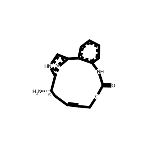 N[C@H]1CC=CCCC(=O)Nc2ccccc2-c2c[nH]c1n2